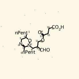 CCCCCC1=NCC(CCCCC)ON1CC(C=O)COC(=O)CCC(=O)O